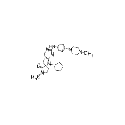 CN1CCN(c2ccc(Nc3ncc4c(n3)N(C3CCCC3)C3(CCN(C)C3=O)C4)cc2)CC1